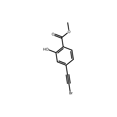 COC(=O)c1ccc(C#CBr)cc1O